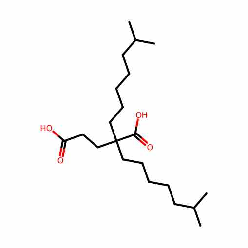 CC(C)CCCCCC(CCCCCC(C)C)(CCC(=O)O)C(=O)O